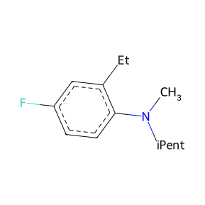 CCCC(C)N(C)c1ccc(F)cc1CC